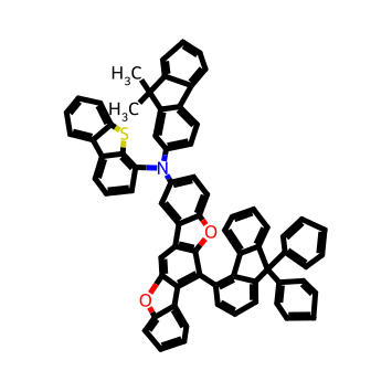 CC1(C)c2ccccc2-c2ccc(N(c3ccc4oc5c(-c6cccc7c6-c6ccccc6C7(c6ccccc6)c6ccccc6)c6c(cc5c4c3)oc3ccccc36)c3cccc4c3sc3ccccc34)cc21